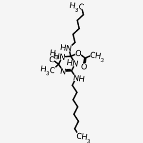 CCCCCCCCNC1=NC(C)(C)NC(NCCCCCC)(OC(C)=O)N1